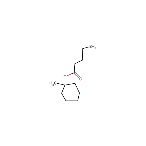 BCCCC(=O)OC1(C)CCCCC1